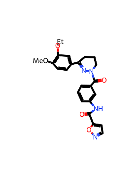 CCOc1cc(C2=NN(C(=O)c3cccc(NC(=O)c4ccno4)c3)CCC2)ccc1OC